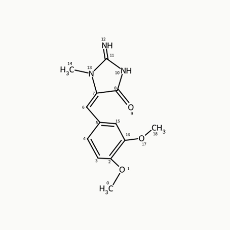 COc1ccc(/C=C2\C(=O)NC(=N)N2C)cc1OC